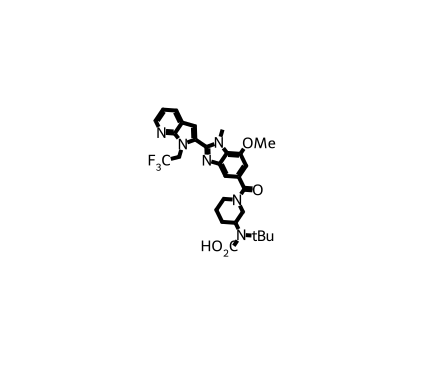 COc1cc(C(=O)N2CCCC(N(C(=O)O)C(C)(C)C)C2)cc2nc(-c3cc4cccnc4n3CC(F)(F)F)n(C)c12